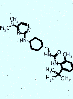 Cc1cccc(C(C)(C)C)c1NC(=O)NC[C@H]1CC[C@@H](Nc2nccc(N(C)C)n2)CC1